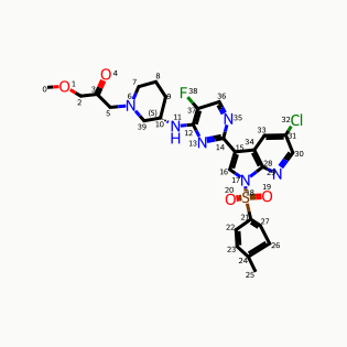 COCC(=O)CN1CCC[C@H](Nc2nc(-c3cn(S(=O)(=O)c4ccc(C)cc4)c4ncc(Cl)cc34)ncc2F)C1